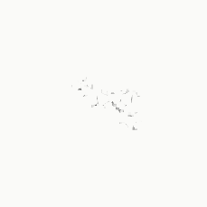 CS(=O)(=O)NC(=O)c1cc(Cl)c(-n2nc(-c3ccncc3)c3cc(Cl)ccc32)cc1F